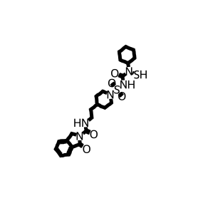 O=C(NCCC1CCN(S(=O)(=O)NC(=O)N(S)C2CCCCC2)CC1)N1Cc2ccccc2C1=O